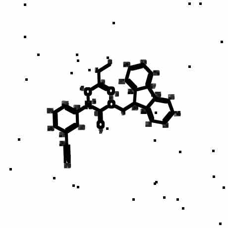 CCC(=O)ON(C(=O)OCC1c2ccccc2-c2ccccc21)c1cccc(C#N)c1